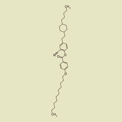 CCCCCCCCCCCCOc1ccc(C(=O)Oc2ccc(CCC3CCC(CCCCC)CC3)cc2C#N)cc1